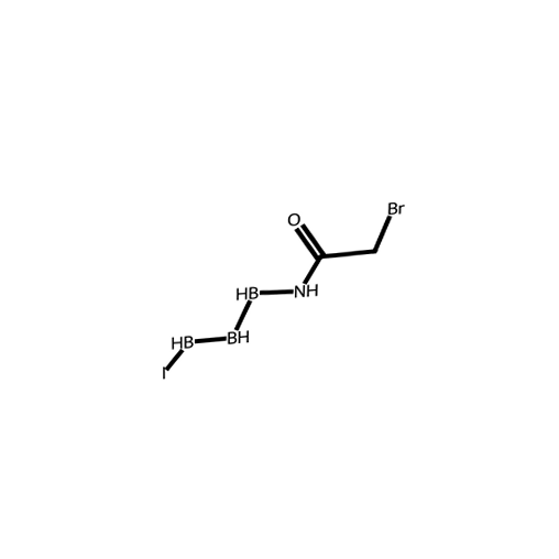 O=C(CBr)NBBBI